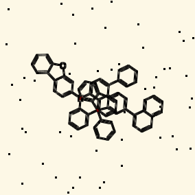 c1ccc(-c2ccc(N(c3ccc4c(c3)oc3ccccc34)c3ccccc3C3(c4ccccc4)c4ccccc4-c4ccc(-c5cccc6ccccc56)cc43)c3ccccc23)cc1